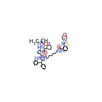 CNC(C)C(=O)NC(C(=O)N1CCCC1C(=O)NC(CNCCCCCCNC(=O)c1cccc2sc(N3CCOCC3)nc12)C(c1ccccc1)c1ccccc1)C1CCCCC1